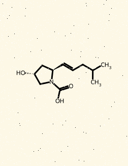 CC(C)CC=C[C@@H]1C[C@@H](O)CN1C(=O)O